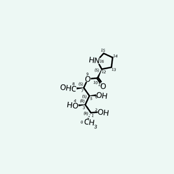 C[C@@H](O)[C@@H](O)[C@H](O)[C@@H](C=O)OC(=O)[C@@H]1CCCN1